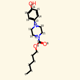 CCCCCCOC(=O)N1CCN(c2ccc(O)cc2)CC1